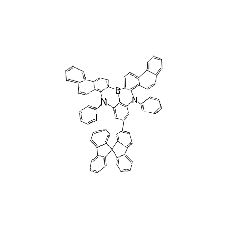 c1ccc(N2c3cc(-c4ccc5c(c4)C4(c6ccccc6-c6ccccc64)c4ccccc4-5)cc4c3B(c3ccc5c(ccc6ccccc65)c32)c2ccc3c(ccc5ccccc53)c2N4c2ccccc2)cc1